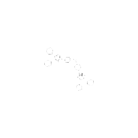 CN(c1ccc(-n2nc(-c3ccccc3)c(-c3ccccc3)n2)cc1)c1ccc(-n2nc(-c3ccccc3)c(-c3ccccc3)n2)cc1